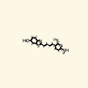 CNc1ccc(/C=C/C=C/c2nc3ccc(O)cc3s2)c([18F])n1